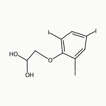 OC(O)COc1c(I)cc(I)cc1I